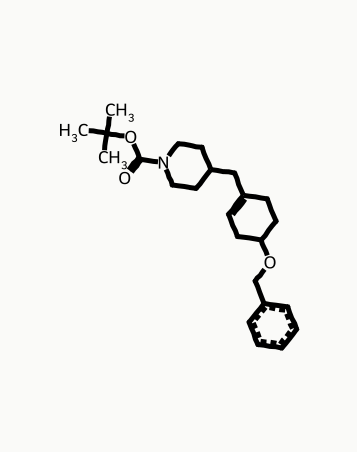 CC(C)(C)OC(=O)N1CCC(CC2=CCC(OCc3ccccc3)CC2)CC1